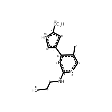 Cc1cnc(NCCO)nc1-c1c[nH]c(C(=O)O)c1